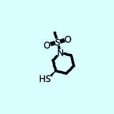 CS(=O)(=O)N1CCC[C@@H](S)C1